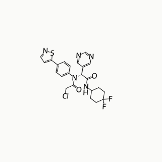 O=C(NC1CCC(F)(F)CC1)[C@@H](c1cncnc1)N(C(=O)CCl)c1ccc(-c2ccns2)cc1